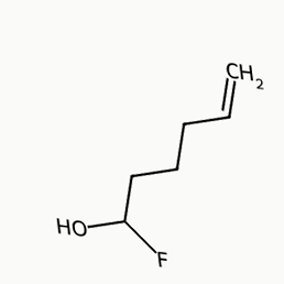 C=CCCCC(O)F